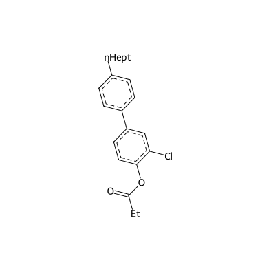 CCCCCCCc1ccc(-c2ccc(OC(=O)CC)c(Cl)c2)cc1